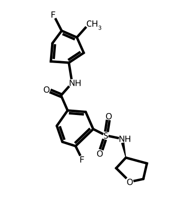 Cc1cc(NC(=O)c2ccc(F)c(S(=O)(=O)N[C@H]3CCOC3)c2)ccc1F